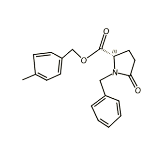 Cc1ccc(COC(=O)[C@@H]2CCC(=O)N2Cc2ccccc2)cc1